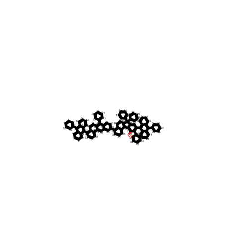 c1ccc(-c2c3ccccc3c(-c3cccc4c3ccc3c(-c5ccccc5)c5ccc(-c6cccc7c8c(ccc67)C(c6ccccc6)(c6ccccc6)c6cc(-c7c9ccccc9c(-c9ccccc9)c9ccccc79)c7c(oc9ccccc97)c6-8)cc5cc34)c3ccccc23)cc1